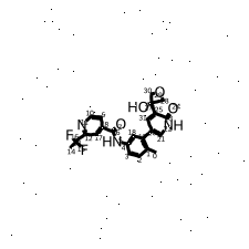 Cc1ccc(NC(=O)c2ccnc(C(C)(F)F)c2)cc1-c1c[nH]c(=O)c(C2(O)COC2)c1